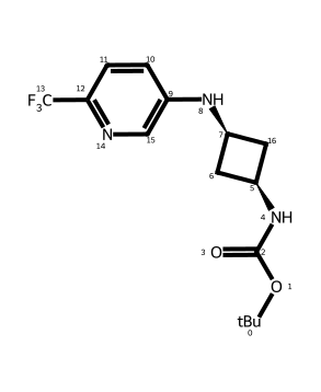 CC(C)(C)OC(=O)N[C@H]1C[C@@H](Nc2ccc(C(F)(F)F)nc2)C1